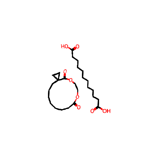 O=C(O)CCCCCCCCCCC(=O)O.O=C1CCCCCCCC2(CC2)C(=O)OCCO1